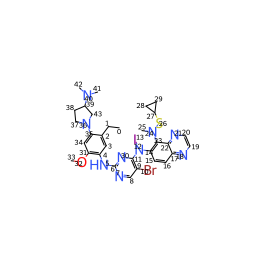 CCc1cc(Nc2ncc(Br)c(N(I)c3ccc4nccnc4c3N(C)SC3CC3)n2)c(OC)cc1N1CCC(N(C)C)C1